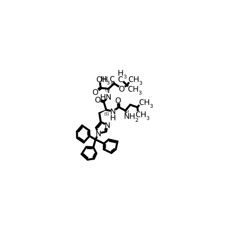 CC(C)C[C@H](N)C(=O)N[C@@H](Cc1cn(C(c2ccccc2)(c2ccccc2)c2ccccc2)cn1)C(=O)N[C@H](C(=O)O)[C@@H](C)OC(C)(C)C